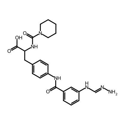 NN=CNc1cccc(C(=O)Nc2ccc(CC(NC(=O)N3CCCCC3)C(=O)O)cc2)c1